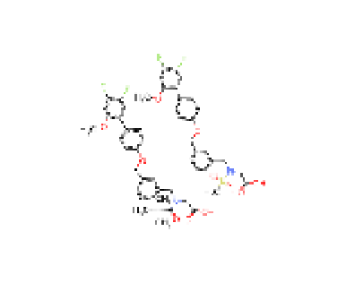 COc1cc(F)c(F)cc1-c1ccc(OCc2cccc(CN(CC(=O)O)C(=O)C(C)(C)C)c2)cc1.COc1cc(F)c(F)cc1-c1ccc(OCc2cccc(CN(CC(=O)O)S(C)(=O)=O)c2)cc1